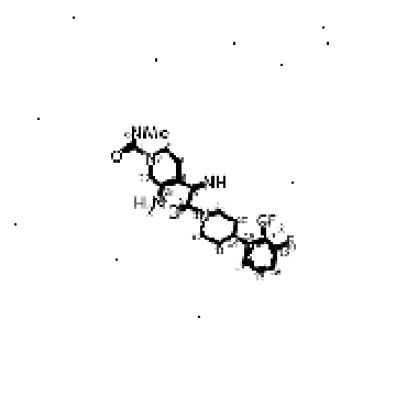 CNC(=O)N1CCC(C(=N)C(=O)N2CCC(c3cccc(F)c3C(F)(F)F)CC2)=C(N)C1